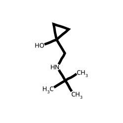 CC(C)(C)NCC1(O)CC1